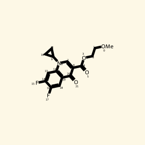 COCCOC(=O)c1cn(C2CC2)c2cc(F)c(F)cc2c1=O